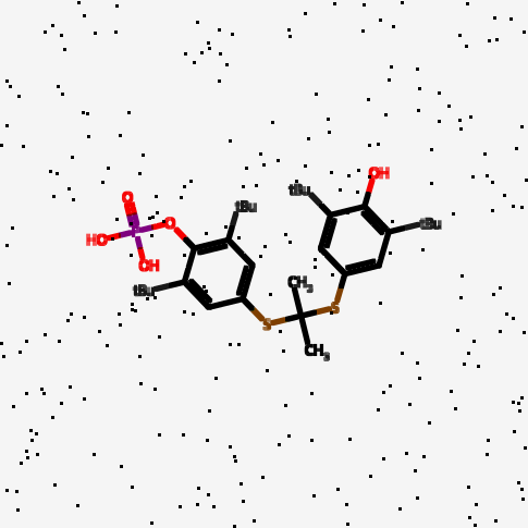 CC(C)(Sc1cc(C(C)(C)C)c(O)c(C(C)(C)C)c1)Sc1cc(C(C)(C)C)c(OP(=O)(O)O)c(C(C)(C)C)c1